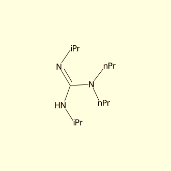 CCCN(CCC)/C(=N\C(C)C)NC(C)C